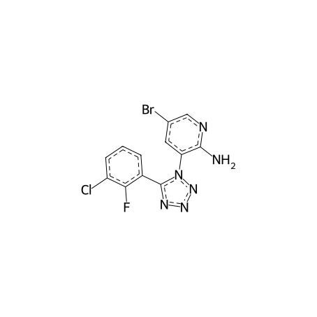 Nc1ncc(Br)cc1-n1nnnc1-c1cccc(Cl)c1F